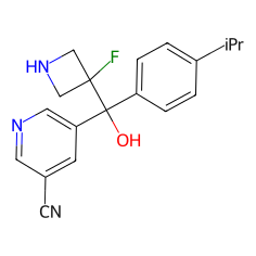 CC(C)c1ccc(C(O)(c2cncc(C#N)c2)C2(F)CNC2)cc1